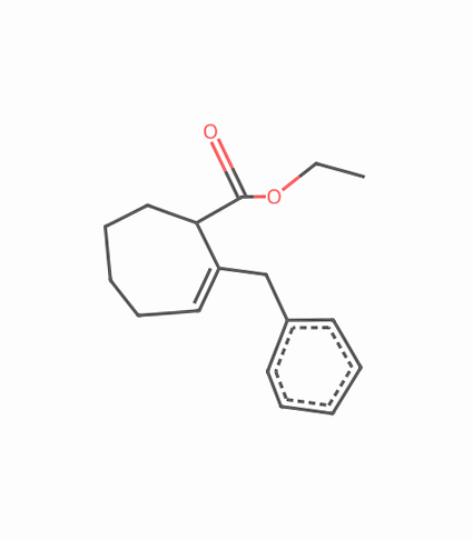 CCOC(=O)C1CCCCC=C1Cc1ccccc1